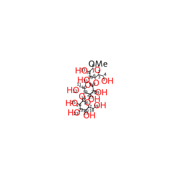 CO[C@@H]1OC(CO)[C@@H](O[C@@H]2OC(CO)[C@H](O[C@H]3OC(CO)[C@H](O)[C@H](O)C3O)C(O)[C@@H]2O)[C@H](O)C1O